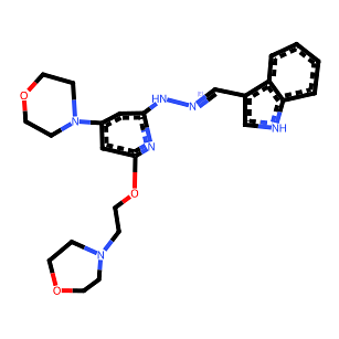 C(=N\Nc1cc(N2CCOCC2)cc(OCCN2CCOCC2)n1)/c1c[nH]c2ccccc12